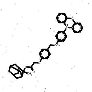 CC1(OC(=O)COc2ccc(COc3ccc([SH]4c5ccccc5Oc5ccccc54)cc3)cc2)C2CC3CC(C2)CC1C3